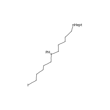 CCCCCCCCCCCCCCCCCCI.P